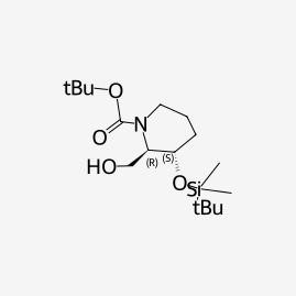 CC(C)(C)OC(=O)N1CCC[C@H](O[Si](C)(C)C(C)(C)C)[C@H]1CO